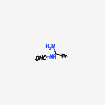 C[C](C)C(N)NC=O